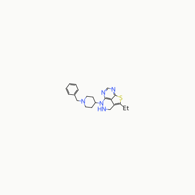 CCc1sc2ncnc3c2c1CNN3C1CCN(Cc2ccccc2)CC1